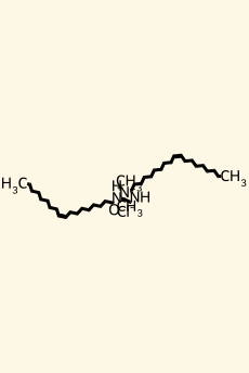 CCCCCCCC/C=C\CCCCCCCCC1=[N+](CC)C(C)(NC(=O)CCCCCCC/C=C\CCCCCCCC)CN1.[Cl-]